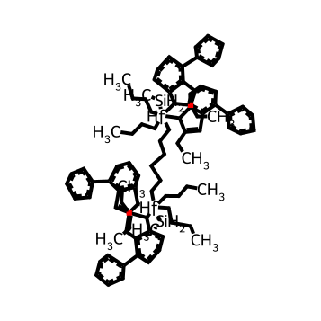 CCC[CH2][Hf]([CH2]CCC)([CH2]CCCC[CH2][Hf]([CH2]CCC)([CH2]CCC)([SiH2]C)([CH]1C(CC)=Cc2c(-c3ccccc3)cccc21)[CH]1C(CC)=Cc2c(-c3ccccc3)cccc21)([SiH2]C)([CH]1C(CC)=Cc2c(-c3ccccc3)cccc21)[CH]1C(CC)=Cc2c(-c3ccccc3)cccc21